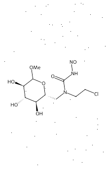 COC1O[C@H](CN(CCCl)C(=O)NN=O)[C@@H](O)[C@H](O)[C@H]1O